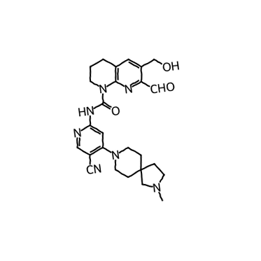 CN1CCC2(CCN(c3cc(NC(=O)N4CCCc5cc(CO)c(C=O)nc54)ncc3C#N)CC2)C1